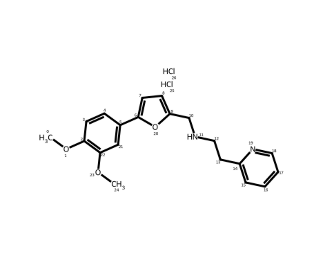 COc1ccc(-c2ccc(CNCCc3ccccn3)o2)cc1OC.Cl.Cl